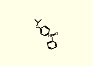 CC(C)Oc1ccc([PH](=O)c2ccccc2)cc1